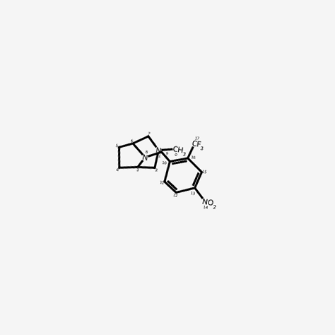 CN1CC2CCC(C1)N2Cc1ccc([N+](=O)[O-])cc1C(F)(F)F